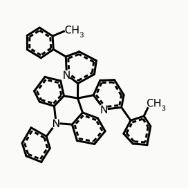 Cc1ccccc1-c1cccc(C2(c3cccc(-c4ccccc4C)n3)c3ccccc3N(c3ccccc3)c3ccccc32)n1